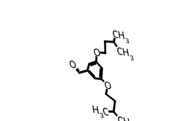 CC(C)CCOc1cc(C=O)cc(OCCC(C)C)c1